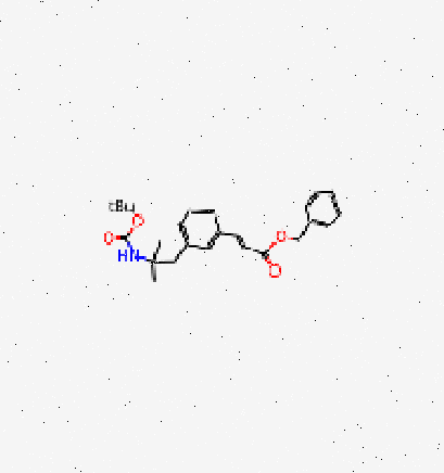 CC(C)(Cc1cccc(C=CC(=O)OCc2ccccc2)c1)NC(=O)OC(C)(C)C